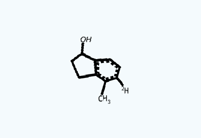 [2H]c1ccc2c(c1C)CCC2O